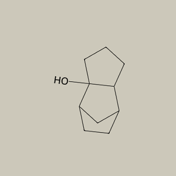 OC12CCCC1C1CCC2C1